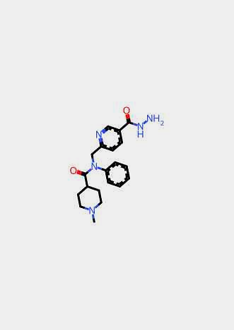 CN1CCC(C(=O)N(Cc2ccc(C(=O)NN)cn2)c2ccccc2)CC1